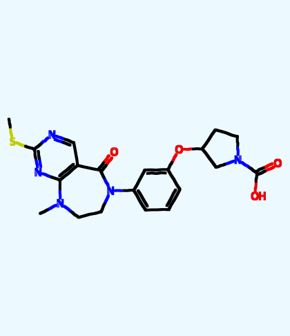 CSc1ncc2c(n1)N(C)CCN(c1cccc(OC3CCN(C(=O)O)C3)c1)C2=O